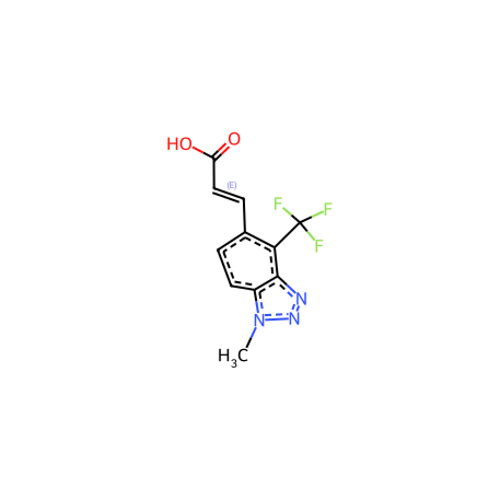 Cn1nnc2c(C(F)(F)F)c(/C=C/C(=O)O)ccc21